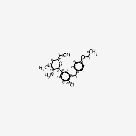 CCOc1ccc(Cc2cc([C@@H]3O[C@H](CO)C[C@H](C)[C@H]3N)ccc2Cl)cc1